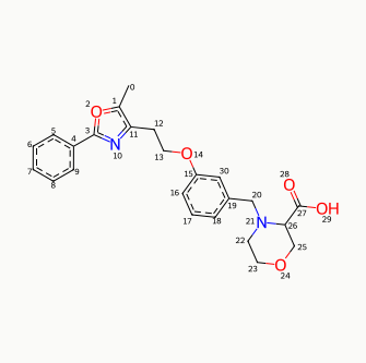 Cc1oc(-c2ccccc2)nc1CCOc1cccc(CN2CCOCC2C(=O)O)c1